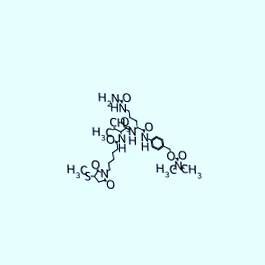 CSC1CC(=O)N(CCCCCC(=O)N[C@H](C(=O)N[C@@H](CCCNC(N)=O)C(=O)Nc2ccc(COC(=O)N(C)C)cc2)C(C)C)C1=O